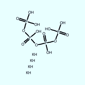 O=P(O)(O)OP(=O)(O)OP(=O)(O)OP(=O)(O)O.[KH].[KH].[KH].[KH]